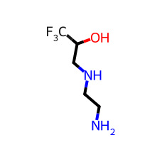 NCCNCC(O)C(F)(F)F